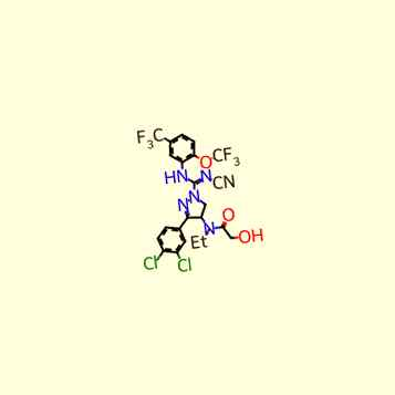 CCN(C(=O)CO)C1CN(C(=NC#N)Nc2cc(C(F)(F)F)ccc2OC(F)(F)F)N=C1c1ccc(Cl)c(Cl)c1